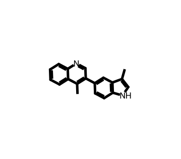 Cc1c(-c2ccc3[nH]cc(C)c3c2)cnc2ccccc12